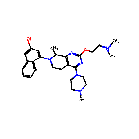 CC(=O)N1CCN(c2nc(OCCN(C)C)nc3c2CCN(c2cc(O)cc4ccccc24)C3C)CC1